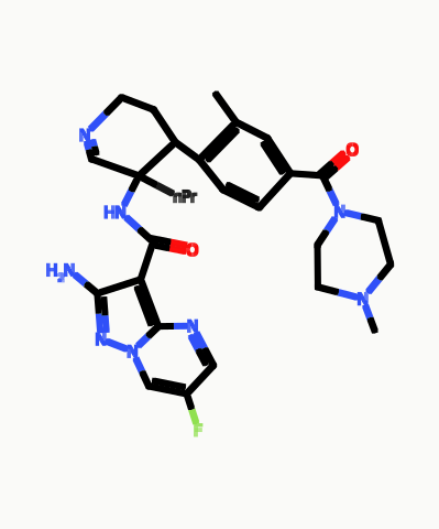 CCCC1(NC(=O)c2c(N)nn3cc(F)cnc23)C=NCCC1c1ccc(C(=O)N2CCN(C)CC2)cc1C